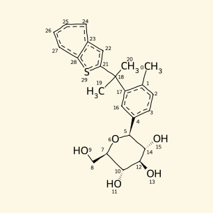 Cc1ccc([C@@H]2O[C@H](CO)[C@@H](O)[C@H](O)[C@H]2O)cc1C(C)(C)c1cc2ccccc2s1